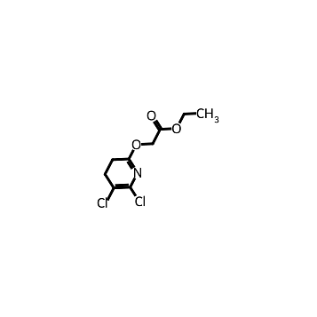 CCOC(=O)COC1=NC(Cl)=C(Cl)CC1